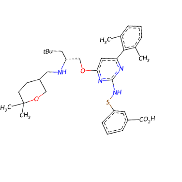 Cc1cccc(C)c1-c1cc(OC[C@@H](CC(C)(C)C)NCC2CCC(C)(C)OC2)nc(NSc2cccc(C(=O)O)c2)n1